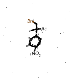 CC(=O)C(C)(CBr)c1ccc([N+](=O)[O-])cc1